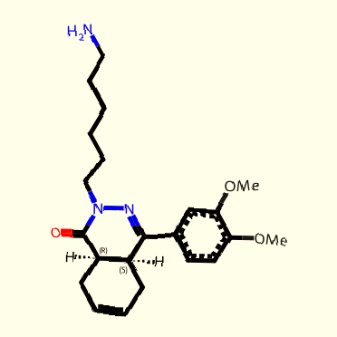 COc1ccc(C2=NN(CCCCCCN)C(=O)[C@@H]3CC=CC[C@H]23)cc1OC